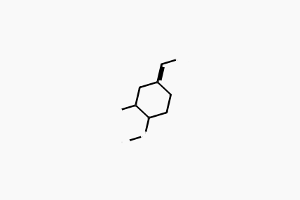 CC=C1CCC(OCCC)C(O)C1